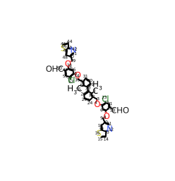 Cc1c(COc2cc(OCc3cnc4ccsc4c3)c(C=O)cc2Cl)cccc1-c1cccc(COc2cc(OCc3cnc4ccsc4c3)c(C=O)cc2Cl)c1C